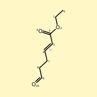 CCOC(=O)/C=C/CCC=O